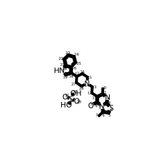 Cc1nc2scc(C)n2c(=O)c1CCN1CCC(c2c[nH]c3ccccc23)CC1.O=S(=O)(O)O